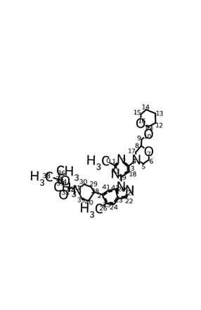 Cc1nc(N2CCOC(CO[C@H]3CCCCO3)C2)cc(-n2ncc3cc(C)c(C4CCN(C(=O)OC(C)(C)C)CC4)cc32)n1